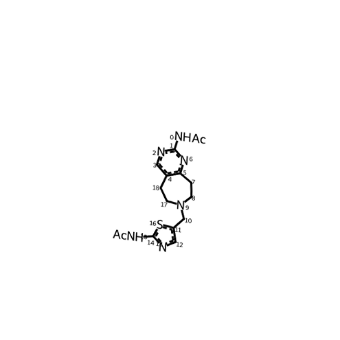 CC(=O)Nc1ncc2c(n1)CCN(Cc1cnc(NC(C)=O)s1)CC2